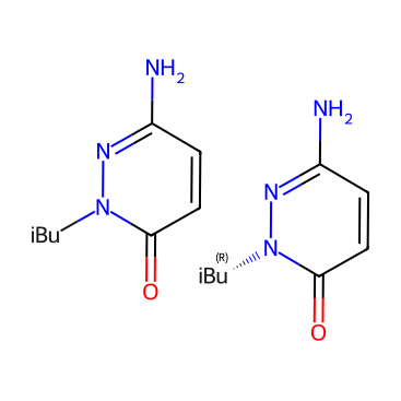 CCC(C)n1nc(N)ccc1=O.CC[C@@H](C)n1nc(N)ccc1=O